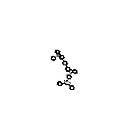 c1ccc(-c2cc(-c3ccccc3)nc(-c3ccc(-n4c5ccccc5c5cc(-c6ccc(-c7ccc8c9ccccc9n(-c9ccccc9)c8c7)cc6)ccc54)cc3)n2)cc1